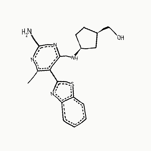 Cc1nc(N)nc(N[C@H]2CC[C@@H](CO)C2)c1-c1nc2ccccc2s1